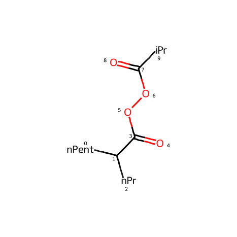 CCCCCC(CCC)C(=O)OOC(=O)C(C)C